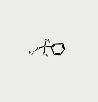 CO[Si](C)(C)c1cc[c]cc1